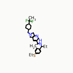 C=C(NC(CC)c1ccc(SCC)cc1)c1cnc2c(c1)CN(CC1CCC(C(C)(F)F)CC1)C2